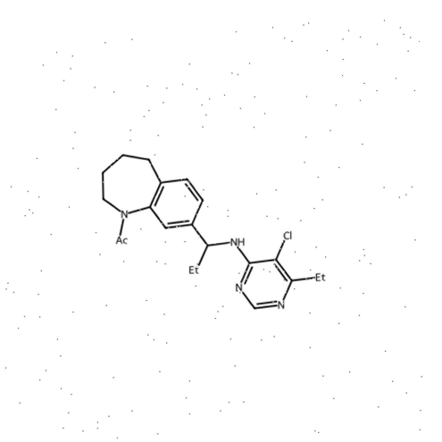 CCc1ncnc(NC(CC)c2ccc3c(c2)N(C(C)=O)CCCC3)c1Cl